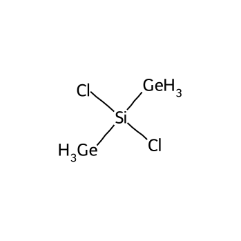 Cl[Si](Cl)([GeH3])[GeH3]